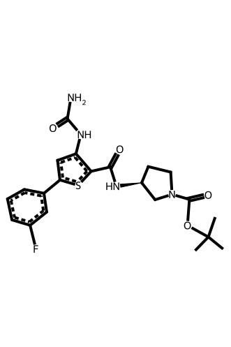 CC(C)(C)OC(=O)N1CC[C@H](NC(=O)c2sc(-c3cccc(F)c3)cc2NC(N)=O)C1